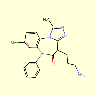 Cc1nnc2n1-c1ccc(Cl)cc1N(c1ccccc1)C(=O)C2CCCN